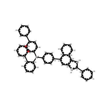 c1ccc(-c2ccc(N(c3ccc(-c4cc5oc(-c6ccccc6)nc5c5ccccc45)cc3)c3ccccc3-c3ccccc3)cc2)cc1